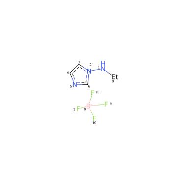 CCNn1ccnc1.F[B-](F)(F)F